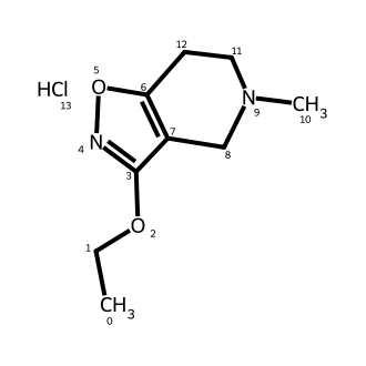 CCOc1noc2c1CN(C)CC2.Cl